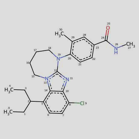 CCC(CC)c1ccc(Cl)c2nc3n(c12)CCCCN3c1ccc(C(=O)NC)cc1C